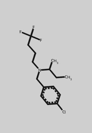 CCC(C)N(CCCC(F)(F)F)Cc1ccc(Cl)cc1